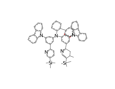 CC1CC(c2cc(N(c3cc(-c4ccc([Si](C)(C)C)cn4)cc(-n4c5ccccc5c5ccccc54)c3)c3ccccc3-c3ccccc3)cc(-n3c4ccccc4c4ccccc43)c2)=NC=C1[Si](C)(C)C